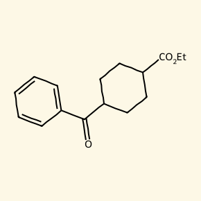 CCOC(=O)C1CCC(C(=O)c2ccccc2)CC1